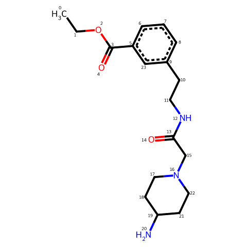 CCOC(=O)c1cccc(CCNC(=O)CN2CCC(N)CC2)c1